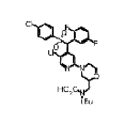 CC(C)(C)N(CC1CN(c2cc(C(c3cc(F)ccc3F)S(=O)(=O)c3ccc(Cl)cc3)c(Cl)cn2)CCO1)C(=O)O